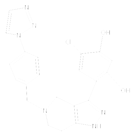 Oc1cc(O)c(-c2n[nH]c3c2CN(Cc2ccc(-n4ccnn4)cc2)CC3)cc1Cl